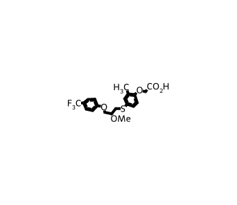 COC(COc1ccc(C(F)(F)F)cc1)CSc1ccc(OCC(=O)O)c(C)c1